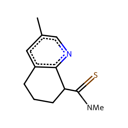 CNC(=S)C1CCCc2cc(C)cnc21